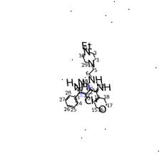 CCN1CCN(CCN/C(N)=C(C(=N)C2=CCOCC2)/C(Cl)=C(\N)c2ccccc2)CC1